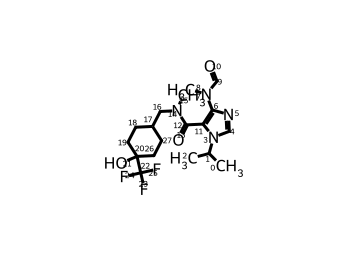 CC(C)n1cnc(N(C)C=O)c1C(=O)N(C)CC1CCC(O)(C(F)(F)F)CC1